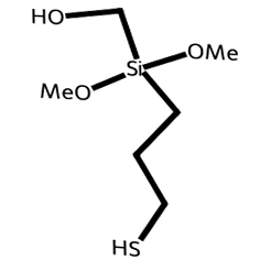 CO[Si](CO)(CCCS)OC